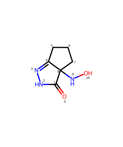 O=C1NN=C2CCCC12NO